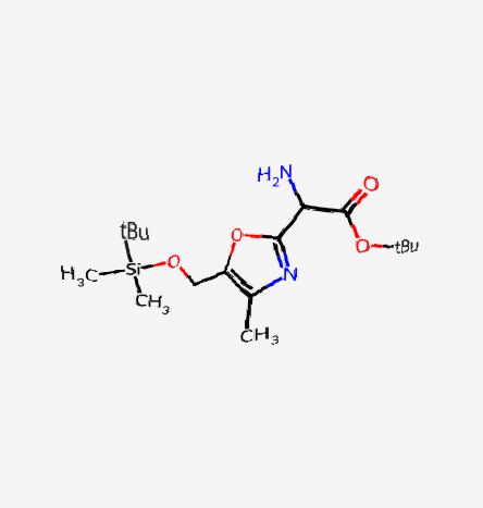 Cc1nc(C(N)C(=O)OC(C)(C)C)oc1CO[Si](C)(C)C(C)(C)C